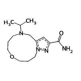 CC(C)N1CCCOCCCn2nc(C(N)=O)cc2C1